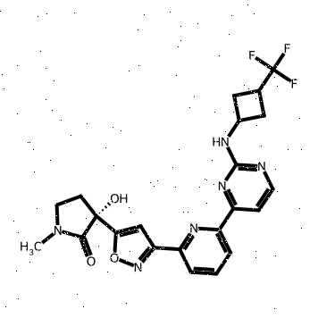 CN1CC[C@@](O)(c2cc(-c3cccc(-c4ccnc(NC5CC(C(F)(F)F)C5)n4)n3)no2)C1=O